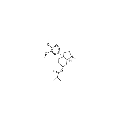 COc1ccc([C@@]23CC[C@@H](OC(=O)C(C)C)C[C@@H]2N(C)CC3)cc1OC